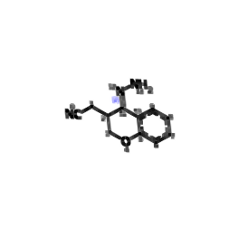 N#CCC1COc2ccccc2/C1=N\N